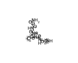 NC(=O)OCC(=O)NCC(=O)N[C@@H](Cc1ccccc1)C(=O)NCC(=O)NCOC1C2CNCC1C2